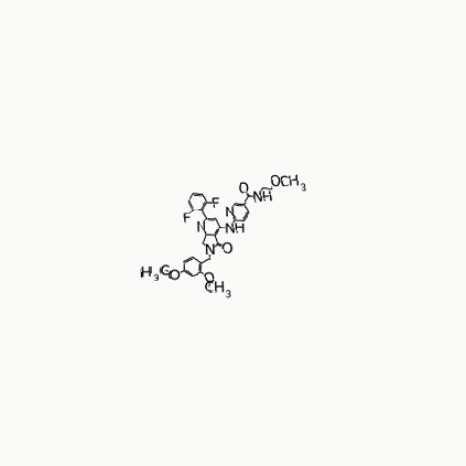 COCCNC(=O)c1ccc(Nc2cc(-c3c(F)cccc3F)nc3c2C(=O)N(Cc2ccc(OC)cc2OC)C3)nc1